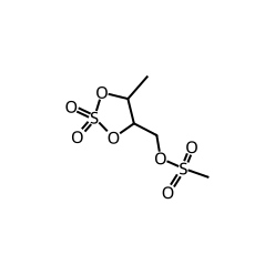 CC1OS(=O)(=O)OC1COS(C)(=O)=O